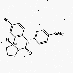 CSc1ccc([C@@H]2C(=O)N3CCC[C@@H]3c3cc(Br)ccc32)cc1